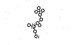 c1ccc(-c2nc(-c3ccc(-c4cccnc4)cc3)cc(-c3ccc(-c4cccc(-c5ccc6c(c5)-c5ccccc5C6(c5ccccc5)c5ccccc5)c4)c4ccccc34)n2)cc1